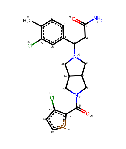 Cc1ccc(C(CC(N)=O)N2CC3CN(C(=O)c4sccc4Cl)CC3C2)cc1Cl